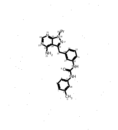 Cc1cccc(NC(=O)Nc2cccc(Cc3nn(C(C)C)c4ncnc(N)c34)c2)c1